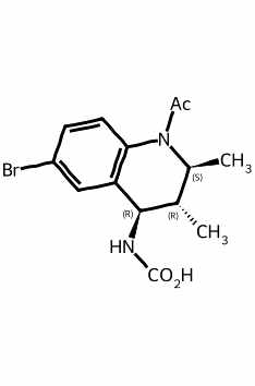 CC(=O)N1c2ccc(Br)cc2[C@H](NC(=O)O)[C@@H](C)[C@@H]1C